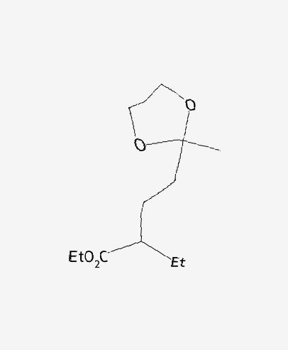 CCOC(=O)C(CC)CCC1(C)OCCO1